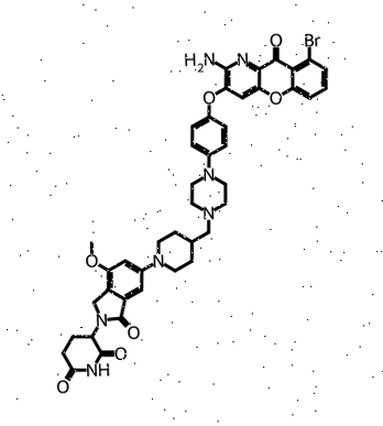 COc1cc(N2CCC(CN3CCN(c4ccc(Oc5cc6oc7cccc(Br)c7c(=O)c6nc5N)cc4)CC3)CC2)cc2c1CN(C1CCC(=O)NC1=O)C2=O